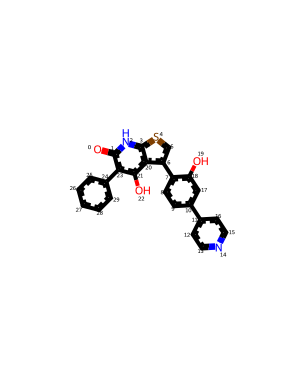 O=c1[nH]c2scc(-c3ccc(-c4ccncc4)cc3O)c2c(O)c1-c1ccccc1